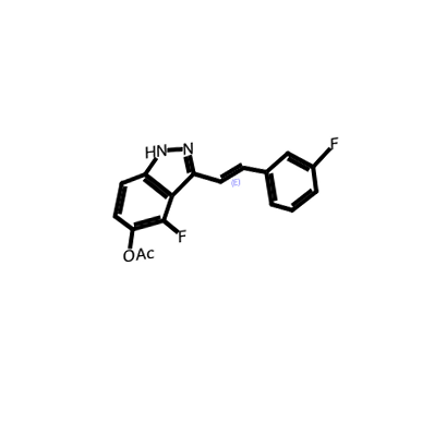 CC(=O)Oc1ccc2[nH]nc(/C=C/c3cccc(F)c3)c2c1F